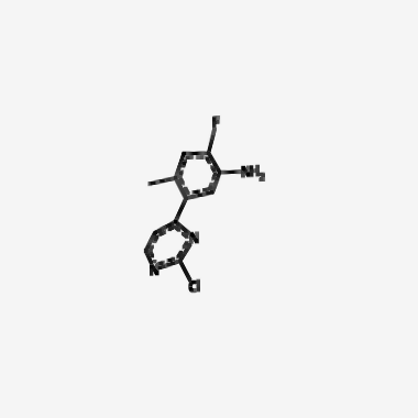 Cc1cc(F)c(N)cc1-c1ccnc(Cl)n1